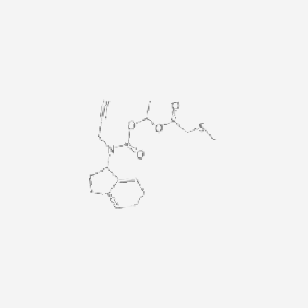 C#CCN(C(=O)OC(C)OC(=O)CSC)C1CCC2=CCCC=C21